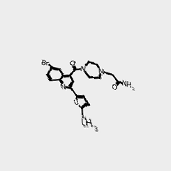 Cc1ccc(-c2cc(C(=O)N3CCN(CC(N)=O)CC3)c3cc(Br)ccc3n2)o1